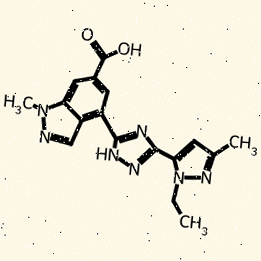 CCn1nc(C)cc1-c1n[nH]c(-c2cc(C(=O)O)cc3c2cnn3C)n1